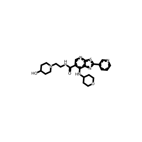 O=C(NCCN1CCC(O)CC1)c1cnc2sc(-c3cccnc3)nc2c1NC1CCOCC1